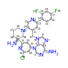 Nc1ncnc2c1ncn2Cc1cc(-c2ccc(F)cc2F)ncc1N1CCC[C@](N)(c2cccc(Cl)n2)C1